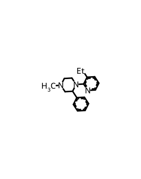 CCc1cccnc1N1CCN(C)CC1c1ccccc1